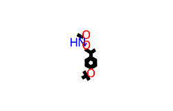 CC(=O)NOCC(C)c1ccc(OC(C)(C)C)cc1